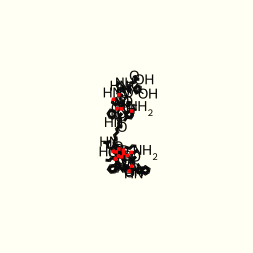 CCCC[C@@H](C(=O)N(C)[C@@H](CCCC)C(=O)N[C@@H](CC(C)C)C(=O)NCCCCC(=O)N[C@@H](Cc1ccc(F)cc1)C(=O)N1CCCC[C@H]1C(=O)N[C@@H](CC(N)=O)C(=O)N1CCC[C@H]1C(=O)N[C@@H](CN)C(=O)N[C@@H](CCC(=O)O)C(=O)N1CC[C@@H](O)C1)N(C)C(=O)[C@H](Cc1cn(CC(=O)O)c2ccccc12)NC(=O)[C@H](CCN)NC(=O)[C@H](Cc1c[nH]c2ccccc12)NC=O